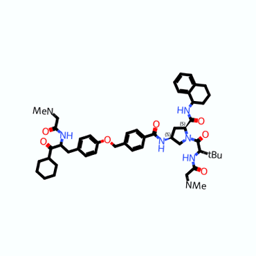 CNCC(=O)NC(Cc1ccc(OCc2ccc(C(=O)N[C@H]3C[C@@H](C(=O)NC4CCCc5ccccc54)N(C(=O)C(NC(=O)CNC)C(C)(C)C)C3)cc2)cc1)C(=O)C1CCCCC1